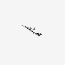 CCCCCCCCCCCCCCCCCC(=O)N[N+](C)(C)CCC.Cl.Cl